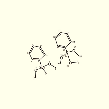 CO[Si](C)(OC)c1ccccc1.CO[Si](OC)(OC)c1ccccc1